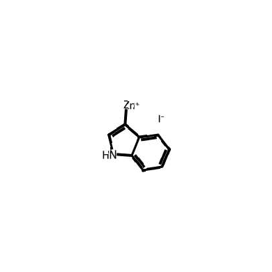 [I-].[Zn+][c]1c[nH]c2ccccc12